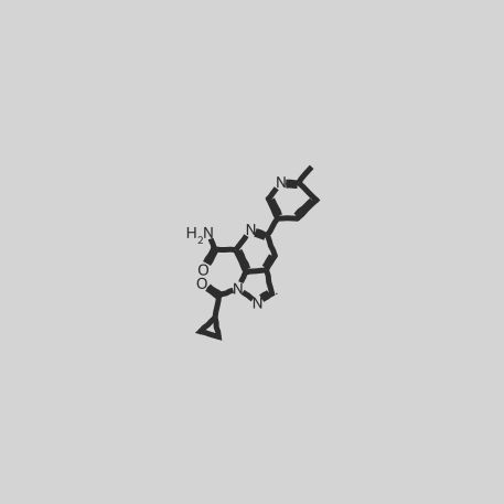 Cc1ccc(-c2cc3[c]nn(C(=O)C4CC4)c3c(C(N)=O)n2)cn1